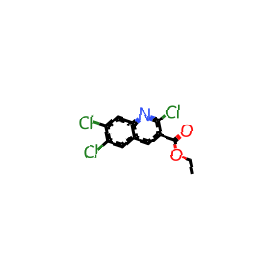 CCOC(=O)c1cc2cc(Cl)c(Cl)cc2nc1Cl